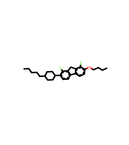 CCCCCC1CCC(c2ccc3c(c2F)Cc2c-3ccc(OCCCC)c2F)CC1